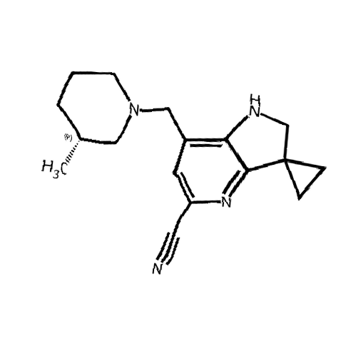 C[C@@H]1CCCN(Cc2cc(C#N)nc3c2NCC32CC2)C1